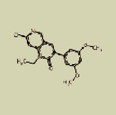 CCn1c(=O)c(-c2cc(OC)cc(OC)c2)cc2cnc(Cl)cc21